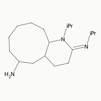 CC(C)/N=C1/CCC2CC(N)CCCCCC2N1C(C)C